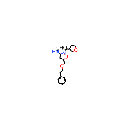 O=CNC1CC(COCCc2ccccc2)ON1CC1CCOC1